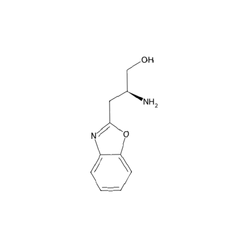 N[C@H](CO)Cc1nc2ccccc2o1